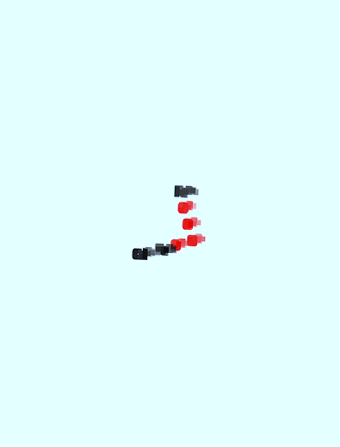 [Cd+2].[Fe+3].[Fe+3].[O-2].[O-2].[O-2].[O-2]